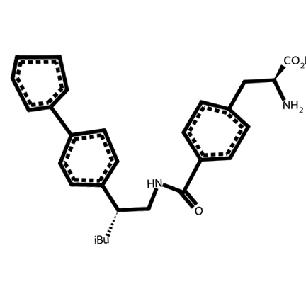 CCC(C)[C@@H](CNC(=O)c1ccc(C[C@H](N)C(=O)O)cc1)c1ccc(-c2ccccc2)cc1